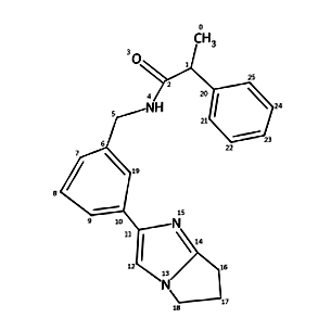 CC(C(=O)NCc1cccc(-c2cn3c(n2)CCC3)c1)c1ccccc1